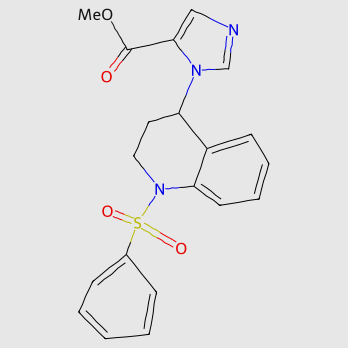 COC(=O)c1cncn1C1CCN(S(=O)(=O)c2ccccc2)c2ccccc21